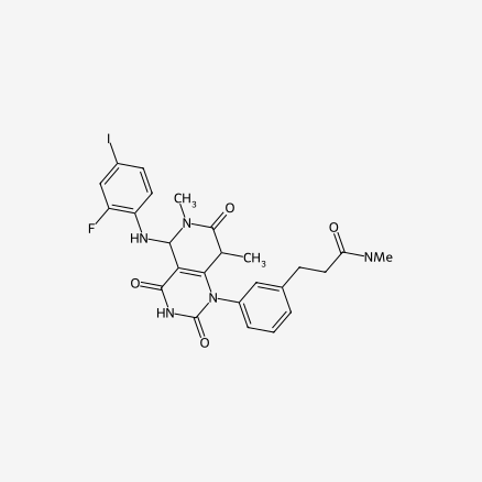 CNC(=O)CCc1cccc(-n2c3c(c(=O)[nH]c2=O)C(Nc2ccc(I)cc2F)N(C)C(=O)C3C)c1